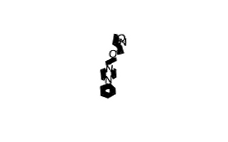 c1ccc(N2CCN(CCOCc3ccon3)CC2)cc1